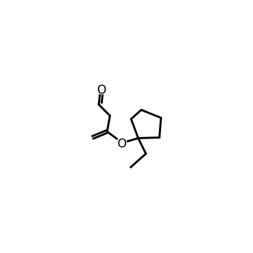 C=C(CC=O)OC1(CC)CCCC1